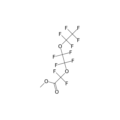 COC(=O)C(F)(F)OC(F)(F)C(F)(F)OC(F)(F)C(F)(F)F